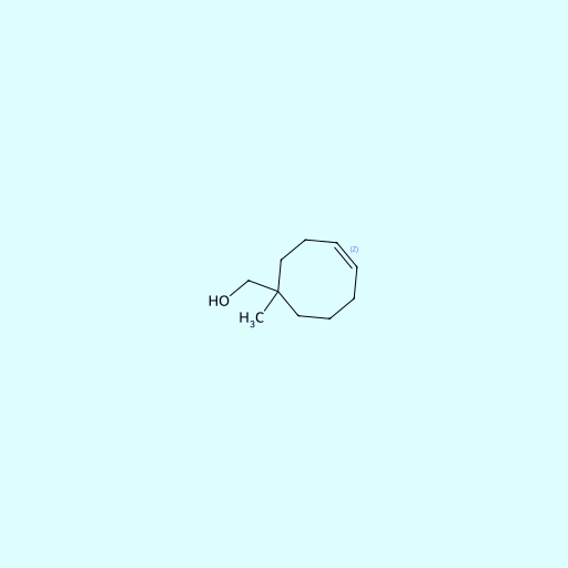 CC1(CO)CC/C=C\CCC1